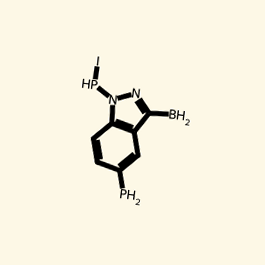 Bc1nn(PI)c2ccc(P)cc12